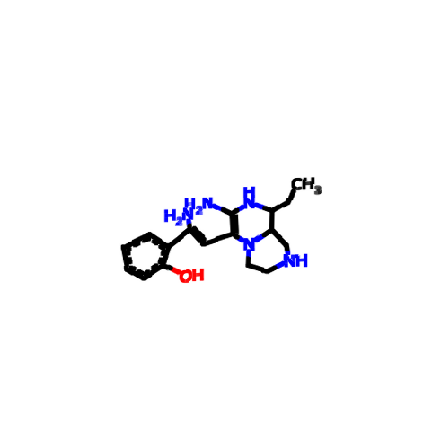 CCC1NC(N)=C(/C=C(\N)c2ccccc2O)N2CCNCC12